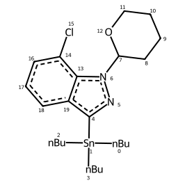 CCC[CH2][Sn]([CH2]CCC)([CH2]CCC)[c]1nn(C2CCCCO2)c2c(Cl)cccc12